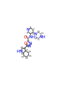 O=C(Nc1cnccc1N1CCNCC1)c1nnc(-c2c[nH]c3ccccc23)o1